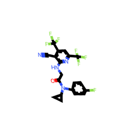 N#Cc1c(C(F)(F)F)cc(C(F)(F)F)nc1NCC(=O)N(c1ccc(F)cc1)C1CC1